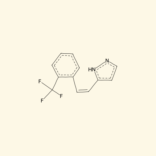 FC(F)(F)c1ccccc1/C=C\c1ccn[nH]1